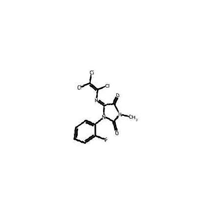 CN1C(=O)C(=NC(Cl)=C(Cl)Cl)N(c2ccccc2F)C1=O